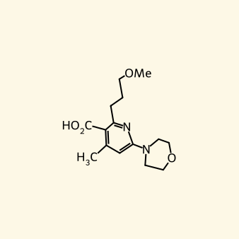 COCCCc1nc(N2CCOCC2)cc(C)c1C(=O)O